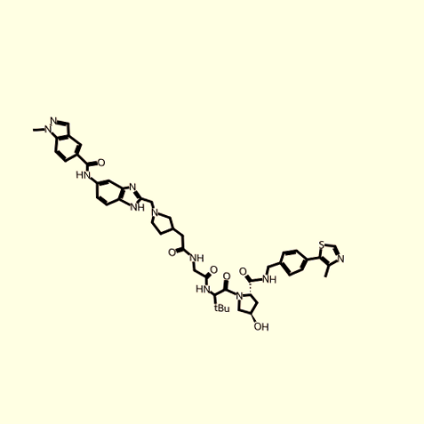 Cc1ncsc1-c1ccc(CNC(=O)[C@@H]2C[C@@H](O)CN2C(=O)C(NC(=O)CNC(=O)CC2CCN(Cc3nc4cc(NC(=O)c5ccc6c(cnn6C)c5)ccc4[nH]3)C2)C(C)(C)C)cc1